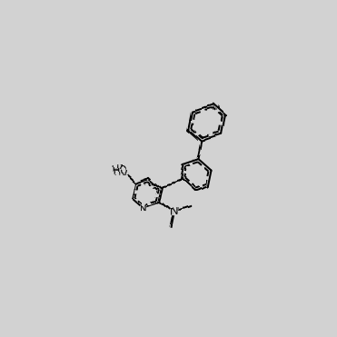 CN(C)c1ncc(O)cc1-c1cccc(-c2ccccc2)c1